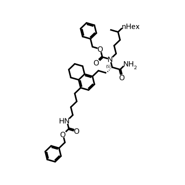 CCCCCCC(C)CCCN(C(=O)OCc1ccccc1)[C@@H](CCc1ccc(CCCCNC(=O)OCc2ccccc2)c2c1CCCC2)C(N)=O